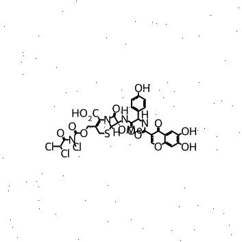 CO[C@@]1(NC(=O)C(NC(=O)c2coc3cc(O)c(O)cc3c2=O)c2ccc(O)cc2)C(=O)N2C(C(=O)O)=C(COC(=O)N(Cl)C(=O)C(Cl)Cl)CS[C@H]21